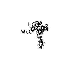 COc1ccc(C2(O)OC(=O)C(c3ccc4c(c3)OCO4)=C2Cc2cccc(OCCCN3CCN(C)CC3)c2)cc1